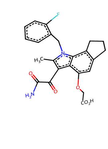 Cc1c(C(=O)C(N)=O)c2c(OCC(=O)O)cc3c(c2n1Cc1ccccc1F)CCC3